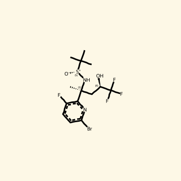 CC(C)(C)[S@@+]([O-])N[C@@](C)(C[C@@H](O)C(F)(F)F)c1nc(Br)ccc1F